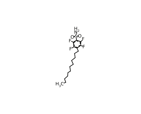 CCCCCCCCCCCCc1c(F)c(F)c(S(N)(=O)=O)c(F)c1F